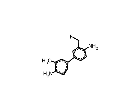 Cc1cc(-c2ccc(N)c(CF)c2)ccc1N